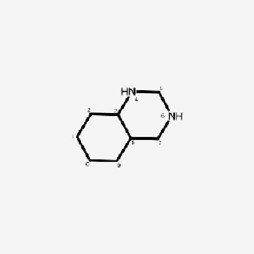 C1CCC2NCNCC2C1